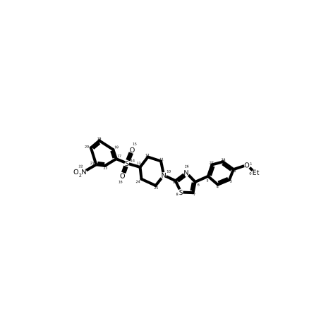 CCOc1ccc(-c2csc(N3CCC(S(=O)(=O)c4cccc([N+](=O)[O-])c4)CC3)n2)cc1